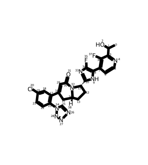 CC(O)c1nccc(-c2[nH]c([C@@H]3CC[C@@H]4CC(c5cc(Cl)ccc5-n5cnnn5)=CC(=O)N43)nc2F)c1F